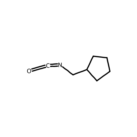 O=C=NCC1CCCC1